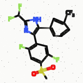 CS(=O)(=O)c1cc(F)c(-c2nc(C(F)F)[nH]c2-c2cccc(C(F)(F)F)c2)cc1F